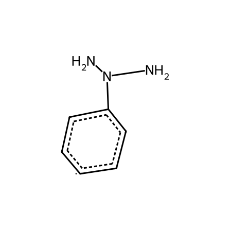 NN(N)c1cc[c]cc1